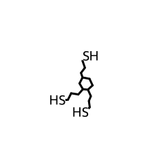 SCCCC1CCC(CCCS)C(CCCS)C1